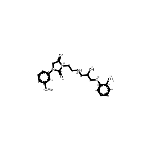 COc1cccc(N2CC(=O)N(CCNCC(O)COc3ccccc3C)C2=O)c1